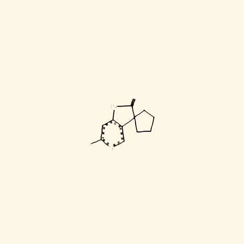 O=C1Nc2cc(I)ncc2C12CCCC2